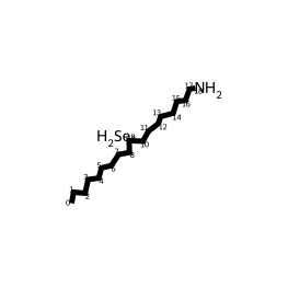 CCCCCCCCCCCCCCCCCCN.[SeH2]